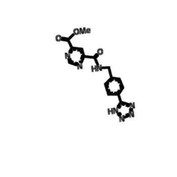 COC(=O)c1cc(C(=O)NCc2ccc(-c3nnn[nH]3)cc2)ncn1